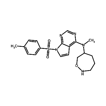 Cc1ccc(S(=O)(=O)n2ccc3c(N(C)C4CCCNOC4)ncnc32)cc1